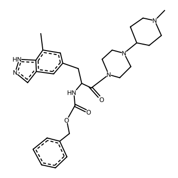 Cc1cc(CC(NC(=O)OCc2ccccc2)C(=O)N2CCN(C3CCN(C)CC3)CC2)cc2cn[nH]c12